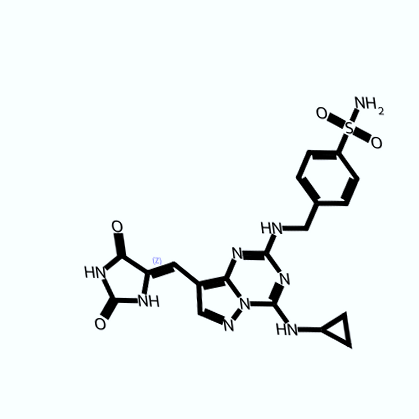 NS(=O)(=O)c1ccc(CNc2nc(NC3CC3)n3ncc(/C=C4\NC(=O)NC4=O)c3n2)cc1